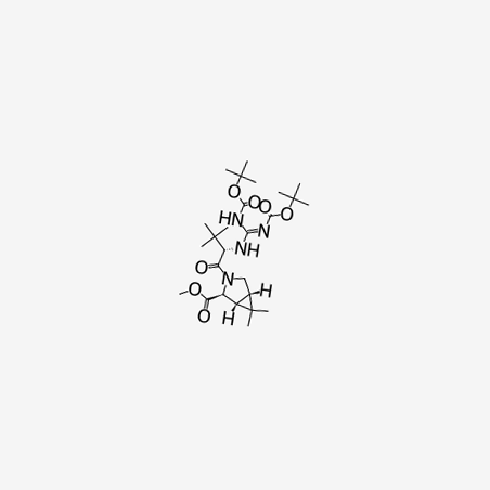 COC(=O)[C@@H]1[C@@H]2[C@H](CN1C(=O)[C@@H](N/C(=N/C(=O)OC(C)(C)C)NC(=O)OC(C)(C)C)C(C)(C)C)C2(C)C